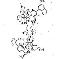 CC[C@H](NCCCCC(=O)N[C@H](C(=O)N1C[C@H](O)C[C@H]1C(=O)N[C@@H](C)c1ccc(-c2scnc2C)cc1)C(C)(C)C)C(=O)N1[C@@H]2CC[C@H]1[C@H]1[C@H](C)Oc3nc(-c4cc(N)cc5ccsc45)c(F)c4nc(OC[C@@]56CCCN5C[C@H](F)C6)nc(c34)N1C2